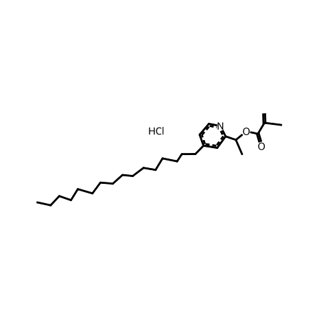 C=C(C)C(=O)OC(C)c1cc(CCCCCCCCCCCCCCCC)ccn1.Cl